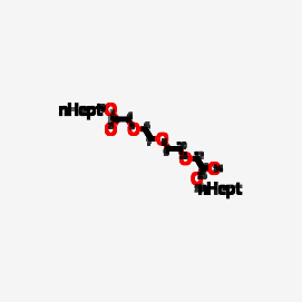 CCCCCCCOC(=O)COCCOCCOCC(=O)OCCCCCCC